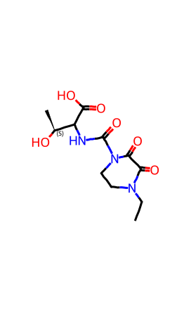 CCN1CCN(C(=O)NC(C(=O)O)[C@H](C)O)C(=O)C1=O